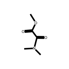 COC(=O)C(=O)N(C)C